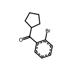 O=C(c1ccccc1Br)C1CCCC1